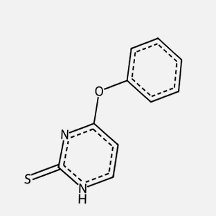 S=c1nc(Oc2ccccc2)cc[nH]1